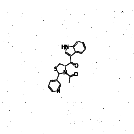 CC(=O)N1C(C(=O)c2c[nH]c3ccccc23)CSC1c1cccnc1